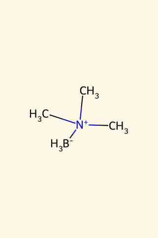 [BH3-][N+](C)(C)C